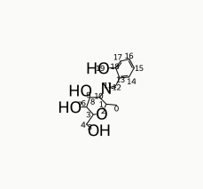 CC1OC(CO)C(O)C(O)C1/N=C/c1ccccc1O